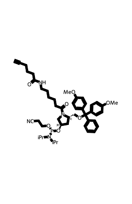 C#CCCCC(=O)NCCCCCC(=O)N1C[C@H](OP(OCCC#N)N(C(C)C)C(C)C)C[C@H]1COC(c1ccccc1)(c1ccc(OC)cc1)c1ccc(OC)cc1